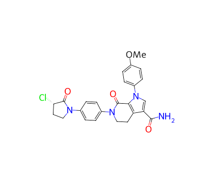 COc1ccc(-n2cc(C(N)=O)c3c2C(=O)N(c2ccc(N4CC[C@H](Cl)C4=O)cc2)CC3)cc1